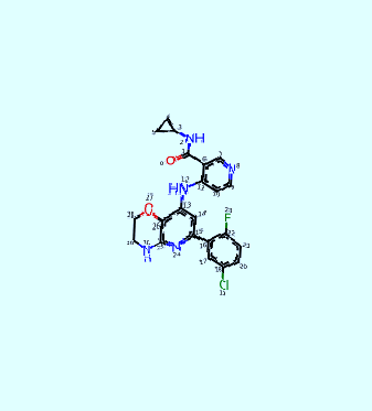 O=C(NC1CC1)c1cnccc1Nc1cc(-c2cc(Cl)ccc2F)nc2c1OCCN2